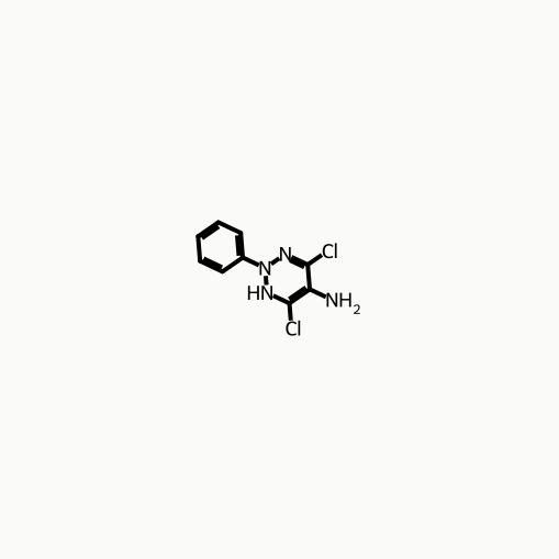 NC1=C(Cl)NN(c2ccccc2)N=C1Cl